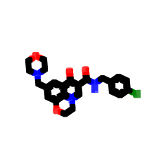 O=C(NCc1ccc(Cl)cc1)c1cn2c3c(cc(CN4CCOCC4)cc3c1=O)OCC2